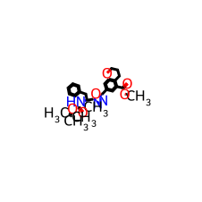 COC(=O)c1cc(-c2nnc(C(C)(Cc3ccccc3)NC(=O)OC(C)(C)C)o2)cc2c1CCCO2